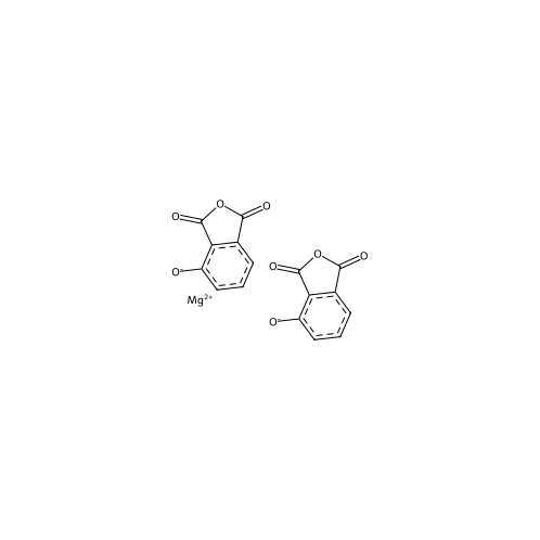 O=C1OC(=O)c2c([O-])cccc21.O=C1OC(=O)c2c([O-])cccc21.[Mg+2]